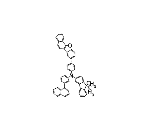 CC1(C)c2ccccc2-c2cc(N(c3ccc(-c4ccc5oc6c7ccccc7ccc6c5c4)cc3)c3cccc(-c4cccc5ccccc45)c3)ccc21